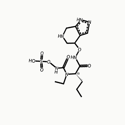 CCC[C@@H](C(=O)NOC1CNCc2[nH]ncc21)N(CC)C(=O)NOS(=O)(=O)O